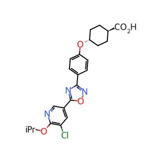 CC(C)Oc1ncc(-c2nc(-c3ccc(O[C@H]4CC[C@H](C(=O)O)CC4)cc3)no2)cc1Cl